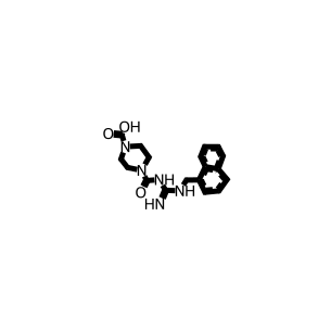 N=C(NCc1cccc2ccccc12)NC(=O)N1CCN(C(=O)O)CC1